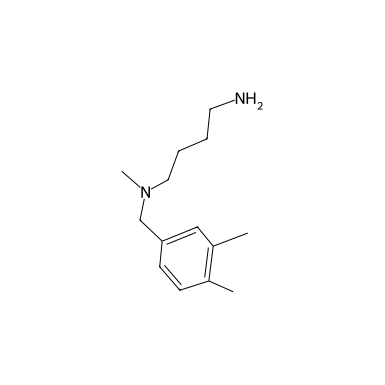 Cc1ccc(CN(C)CCCCN)cc1C